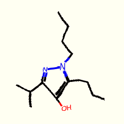 CCCCn1nc(C(C)C)c(O)c1CCC